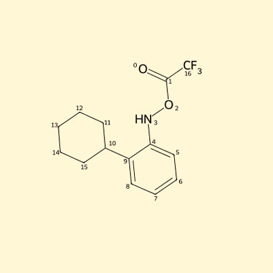 O=C(ONc1ccccc1C1CCCCC1)C(F)(F)F